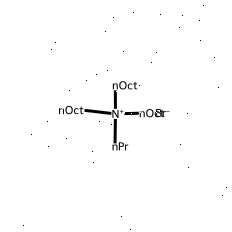 CCCCCCCC[N+](CCC)(CCCCCCCC)CCCCCCCC.[Br-]